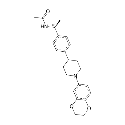 CC(=O)N[C@@H](C)c1ccc(C2CCN(c3ccc4c(c3)OCCO4)CC2)cc1